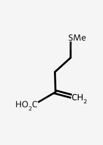 C=C(CCSC)C(=O)O